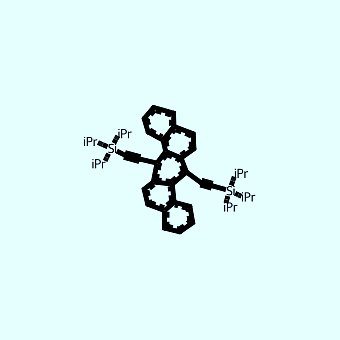 CC(C)[Si](C#Cc1c2ccc3ccccc3c2c(C#C[Si](C(C)C)(C(C)C)C(C)C)c2ccc3ccccc3c12)(C(C)C)C(C)C